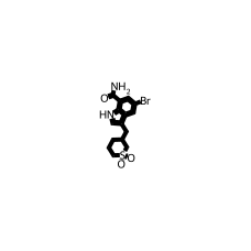 NC(=O)c1cc(Br)cc2c(CC3CCCS(=O)(=O)C3)c[nH]c12